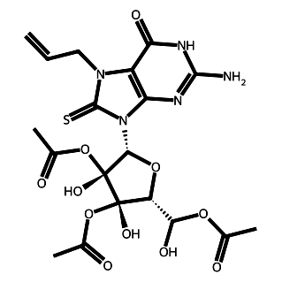 C=CCn1c(=S)n([C@@H]2O[C@H](C(O)OC(C)=O)[C@](O)(OC(C)=O)[C@]2(O)OC(C)=O)c2nc(N)[nH]c(=O)c21